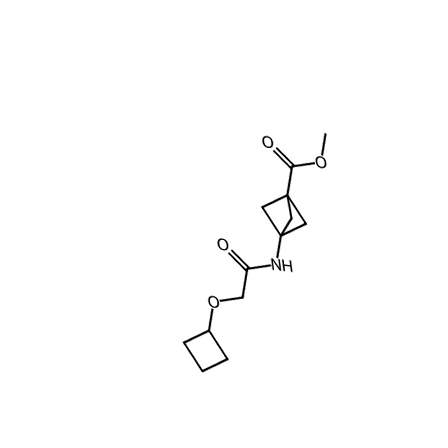 COC(=O)C12CC(NC(=O)COC3CCC3)(C1)C2